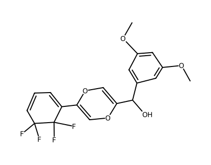 COc1cc(OC)cc(C(O)C2=COC(C3=CC=CC(F)(F)C3(F)F)=CO2)c1